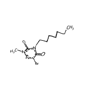 CCCCCCCn1c(=O)c(Br)nn(C)c1=O